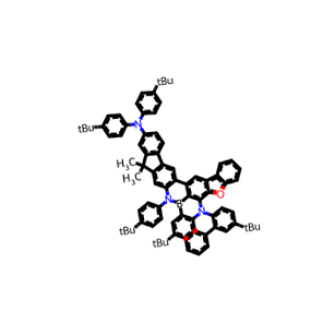 CC(C)(C)c1ccc(N2B3c4cc(C(C)(C)C)ccc4N(c4ccc(C(C)(C)C)cc4-c4ccccc4)c4c3c(cc3c4oc4ccccc43)-c3cc4c(cc32)C(C)(C)c2cc(N(c3ccc(C(C)(C)C)cc3)c3ccc(C(C)(C)C)cc3)ccc2-4)cc1